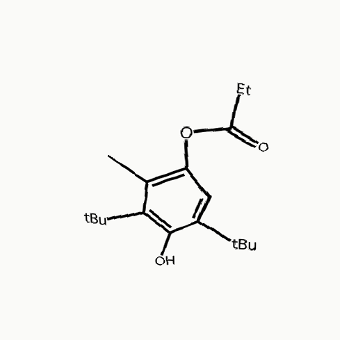 CCC(=O)Oc1cc(C(C)(C)C)c(O)c(C(C)(C)C)c1C